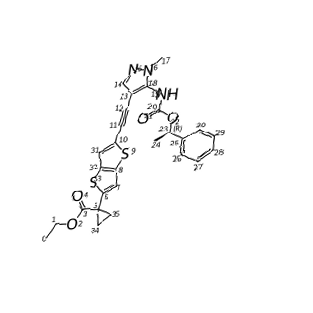 CCOC(=O)C1(c2cc3sc(C#Cc4cnn(C)c4NC(=O)O[C@H](C)c4ccccc4)cc3s2)CC1